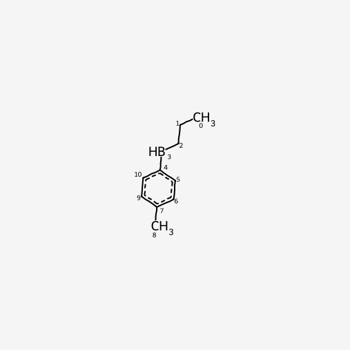 CCCBc1ccc(C)cc1